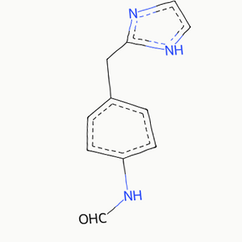 O=CNc1ccc(Cc2ncc[nH]2)cc1